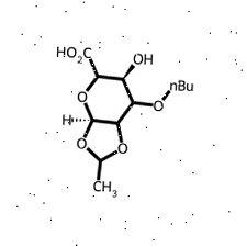 CCCCOC1C2OC(C)O[C@H]2OC(C(=O)O)[C@H]1O